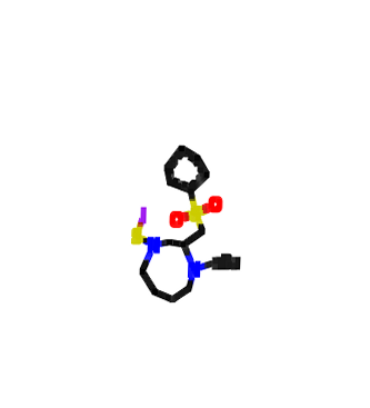 CCCCN1CCCCN(SI)CC1CS(=O)(=O)c1ccccc1